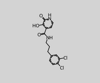 O=C(NCCCc1ccc(Cl)c(Cl)c1)c1cc[nH]c(=O)c1O